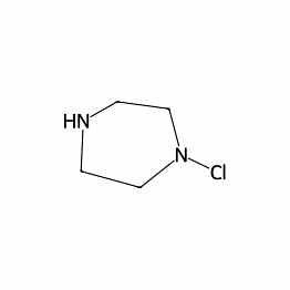 ClN1CCNCC1